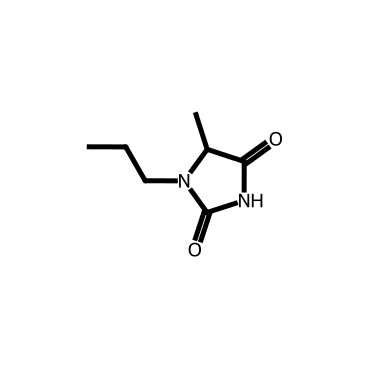 CCCN1C(=O)NC(=O)C1C